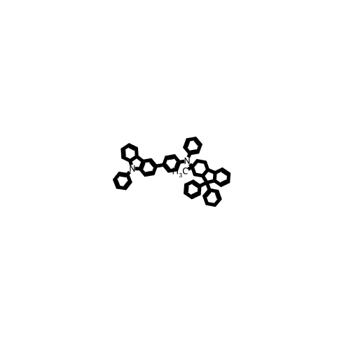 CC1(N(c2ccccc2)c2ccc(-c3ccc4c(c3)C3C=CC=CC3N4c3ccccc3)cc2)CCC2C3C=CC=CC3C(C3=CCCC=C3)(c3ccccc3)C2C1